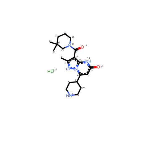 Cc1nn2c(C3CCNCC3)cc(=O)[nH]c2c1C(=O)N1CCCC(C)(C)C1.Cl